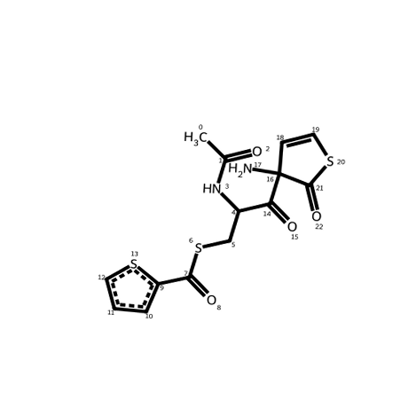 CC(=O)NC(CSC(=O)c1cccs1)C(=O)C1(N)C=CSC1=O